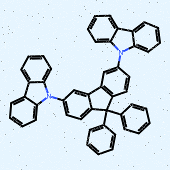 c1ccc(C2(c3ccccc3)c3ccc(-n4c5ccccc5c5ccccc54)cc3-c3cc(-n4c5ccccc5c5ccccc54)ccc32)cc1